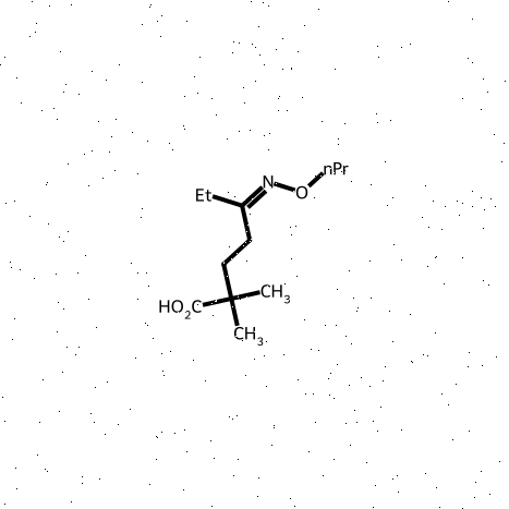 CCCON=C(CC)CCC(C)(C)C(=O)O